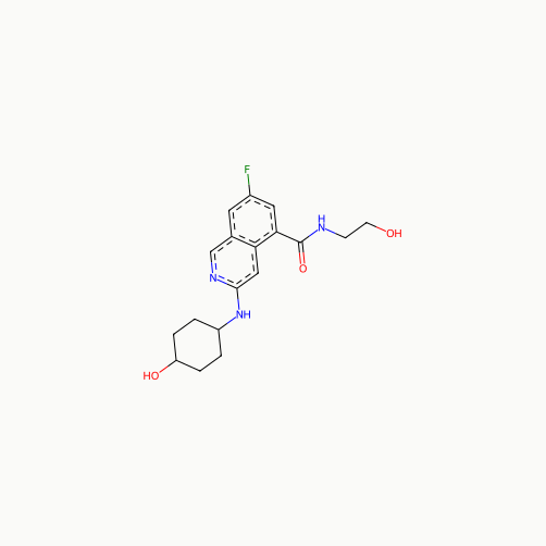 O=C(NCCO)c1cc(F)cc2cnc(NC3CCC(O)CC3)cc12